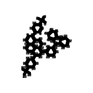 CC(C)(C)c1ccc(-c2ccc3ccc4c(-c5ccc(C(C)(C)C)cc5)cc(-c5cccc(-n6c7ccccc7c7ccccc76)c5)c5ccc2c3c45)cc1